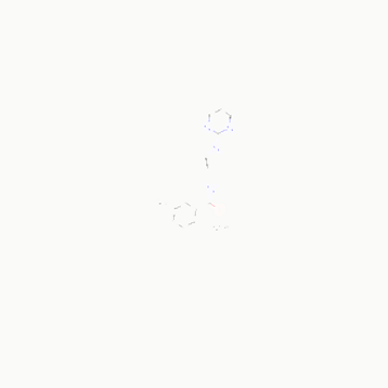 COc1ccc(C(C)(C)C)cc1C(=O)N1CC2=CN(c3nc(C)cc(C)n3)CC2C1